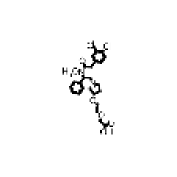 CN(C(=O)Cc1ccc(Cl)c(Cl)c1)C(CN1CC[C@H](OCCOCC(=O)O)C1)c1ccccc1